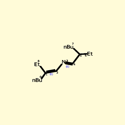 CCCC/C(=C/N=C/C(CC)CCCC)CC